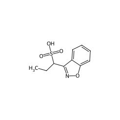 CCC(c1noc2ccccc12)S(=O)(=O)O